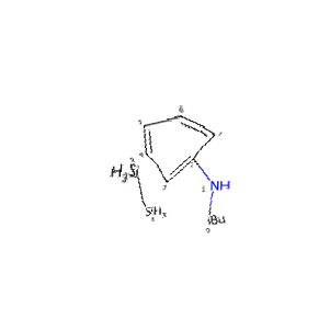 CCC(C)Nc1ccccc1.[SiH3][SiH3]